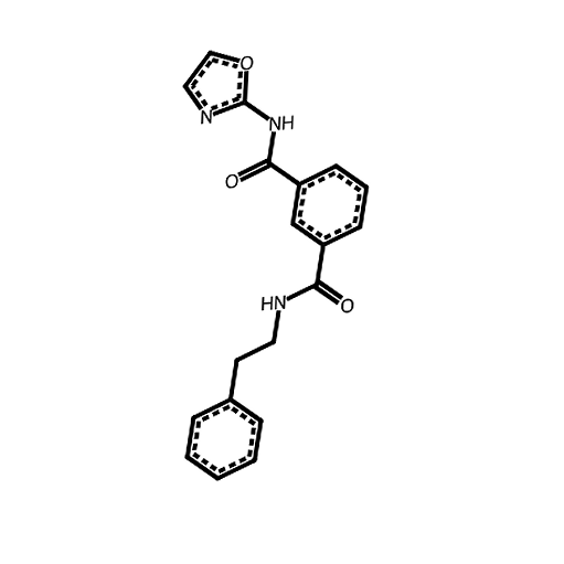 O=C(NCCc1ccccc1)c1cccc(C(=O)Nc2ncco2)c1